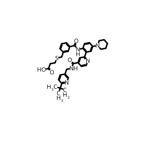 CC(C)(C)c1ccc(CNC(=O)c2ccnc(-c3cc(N4CCCCC4)ccc3NC(=O)c3cccc(CSCCC(=O)O)c3)c2)cn1